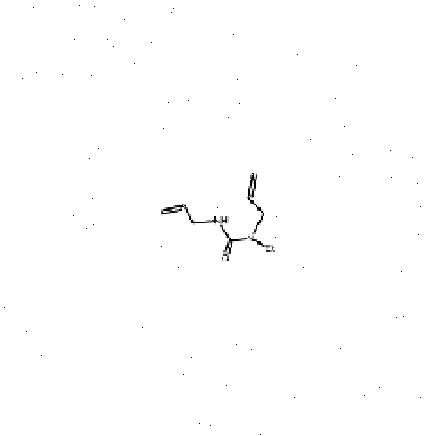 C=CCNC(=O)N(CC)CC=C